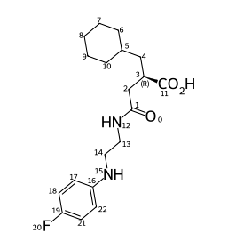 O=C(C[C@@H](CC1CCCCC1)C(=O)O)NCCNc1ccc(F)cc1